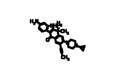 CC#Cc1cc2c(cc1N1CCN(C3CC3)CC1)C(C)(C)c1[nH]c3cc(N)ccc3c1C2=O